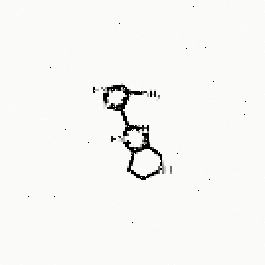 Nc1c[nH]nc1-c1nc2c([nH]1)CCNC2